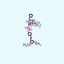 COc1cc(/C=C/c2ccc(OC(=O)NCCNC(=O)C(Cc3ccccc3)NC(=O)OC(C)(C)C)cc2)cc(OC)c1